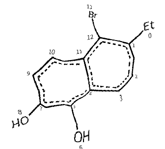 CCc1ccc2c(O)c(O)ccc2c1Br